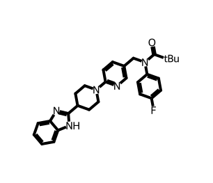 CC(C)(C)C(=O)N(Cc1ccc(N2CCC(c3nc4ccccc4[nH]3)CC2)nc1)c1ccc(F)cc1